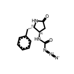 [N-]=[N+]=NC(=O)N[C@@H]1CC(=O)N[C@H]1Cc1ccccc1